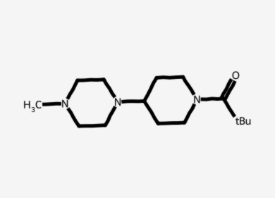 CN1CCN(C2CCN(C(=O)C(C)(C)C)CC2)CC1